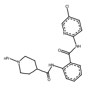 CCCN1CCC(C(=O)Nc2ccccc2C(=O)Nc2ccc(Cl)cn2)CC1